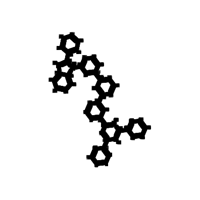 c1ccc(-c2cc(-c3cccc(-c4cccc(-c5cccc(-n6c(-c7ccccc7)nc7ccccc76)c5)c4)c3)nc(-c3ccccc3)n2)cc1